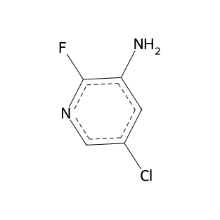 Nc1cc(Cl)cnc1F